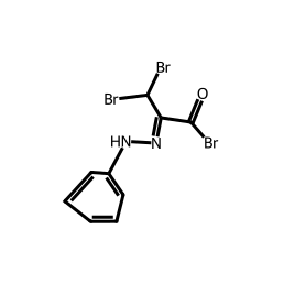 O=C(Br)C(=NNc1ccccc1)C(Br)Br